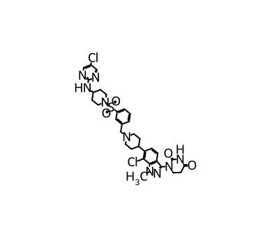 Cn1nc(N2CCC(=O)NC2=O)c2ccc(C3CCN(Cc4cccc(S(=O)(=O)N5CCC(Nc6ncc(Cl)cn6)CC5)c4)CC3)c(Cl)c21